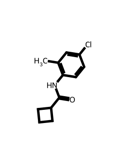 Cc1cc(Cl)ccc1NC(=O)C1CCC1